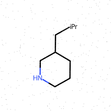 CC(C)[CH]C1CCCNC1